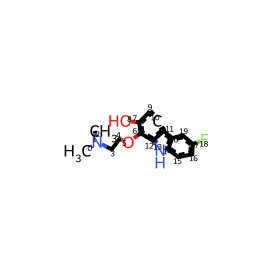 CN(C)CCOc1c(O)ccc2c1[nH]c1ccc(F)cc12